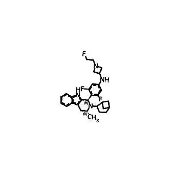 C[C@@H]1Cc2c([nH]c3ccccc23)[C@@H](c2c(F)cc(NC3CN(CCF)C3)cc2F)N1C1CCC2CC1C2